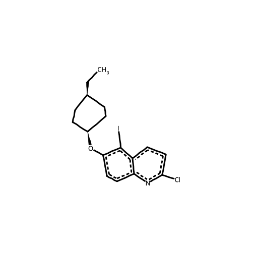 CC[C@H]1CC[C@@H](Oc2ccc3nc(Cl)ccc3c2I)CC1